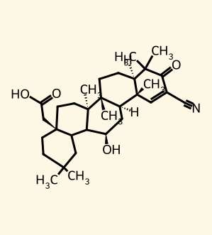 CC1(C)CC[C@]2(CC(=O)O)CC[C@]3(C)C(C2C1)[C@H](O)C[C@@H]1[C@@]2(C)C=C(C#N)C(=O)C(C)(C)[C@@H]2CC[C@]13C